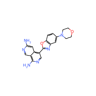 Nc1cc2c(-c3nc4cc(N5CCOCC5)ccc4o3)cnc(N)c2cn1